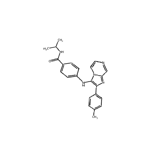 Cc1ccc(-c2nc3cnccn3c2Nc2ccc(C(=O)NC(C)C)cc2)cc1